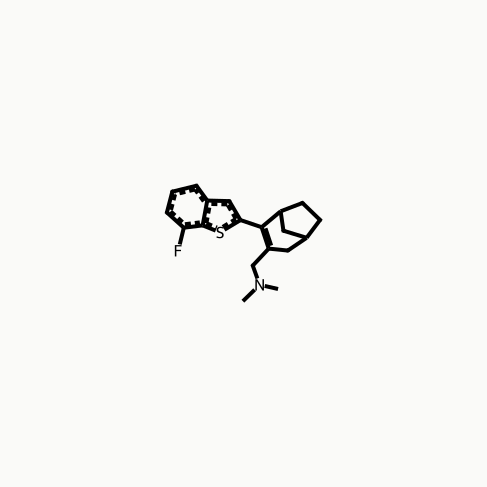 CN(C)CC1=C(c2cc3cccc(F)c3s2)C2CCC(C1)C2